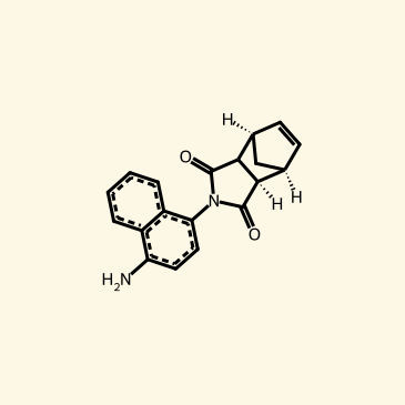 Nc1ccc(N2C(=O)C3[C@H]4C=C[C@H](C4)[C@H]3C2=O)c2ccccc12